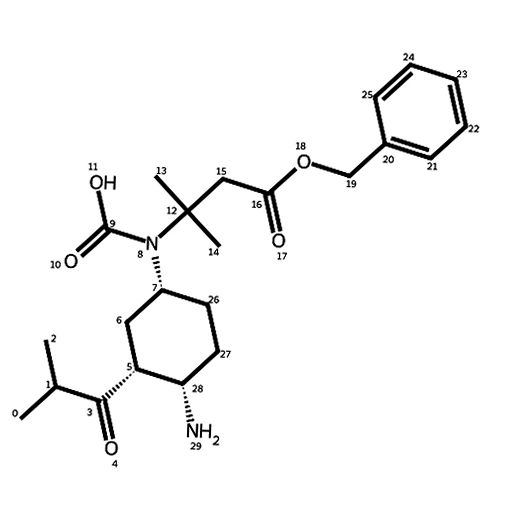 CC(C)C(=O)[C@@H]1C[C@H](N(C(=O)O)C(C)(C)CC(=O)OCc2ccccc2)CC[C@@H]1N